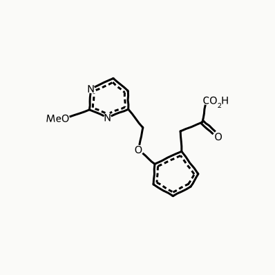 COc1nccc(COc2ccccc2CC(=O)C(=O)O)n1